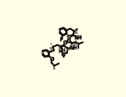 CNC[C@H](NC(=O)[C@H](NC(=O)[C@H](C)Cc1cccc(F)c1)C(C)C)C(=O)NC[C@@H](C)Cc1ccccc1OCC(C)C